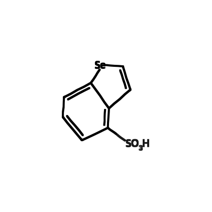 O=S(=O)(O)c1cccc2[se]ccc12